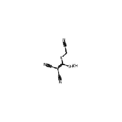 N#CCSC(S)=C(C#N)C#N.[KH]